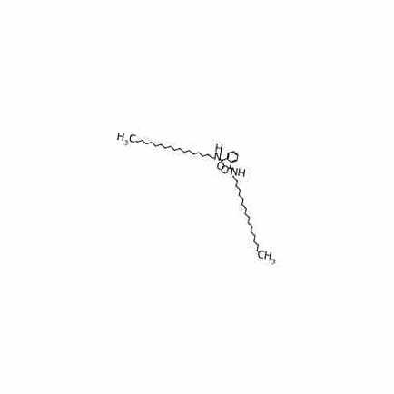 CCCCCCCCCCCCCCCCCCNC(=O)c1ccccc1C(=O)NCCCCCCCCCCCCCCCCCC